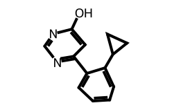 Oc1cc(-c2ccccc2C2CC2)ncn1